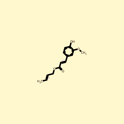 C/C=C/COC(=O)/C=C/c1ccc(O)c(OC)c1